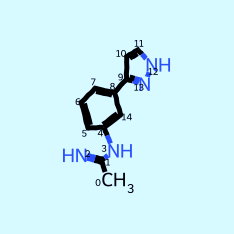 CC(=N)Nc1cccc(-c2cc[nH]n2)c1